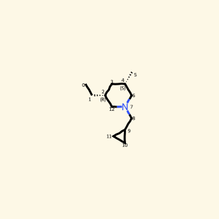 CC[C@@H]1C[C@H](C)CN(CC2CC2)C1